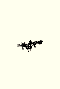 CC(C)(C)C(=O)Nc1cncc(-c2ccc3[nH]nc(-c4nc5c(-c6cc(F)cc(OCCN7CCCC7)c6)nccc5[nH]4)c3n2)c1